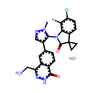 Cl.Cn1ncc(-c2ccc3c(=O)[nH]nc(CN)c3c2)c1N1C(=O)C2(CC2)c2ccc(Cl)c(F)c21